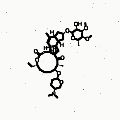 CC[C@H]1CCC[C@H](O[C@@H]2CC[C@H](N(C)C)CO2)[C@@H](C)C(=O)C2=C[C@@H]3[C@@H](C=C(C)[C@H]4C[C@H](O[C@@H]5O[C@@H](C)[C@H](OC)[C@@H](OC)[C@H]5O)C[C@H]34)[C@@H]2CC(=O)O1